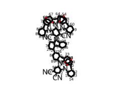 N#Cc1cc(-n2c3ccccc3c3ccccc32)c(-n2c3ccccc3c3cc(-c4cccc5c4c4ccccc4n5-c4c(C#N)c(-n5c6ccccc6c6ccccc65)c(-n5c6ccccc6c6ccccc65)c(-n5c6ccccc6c6ccccc65)c4C#N)ccc32)cc1C#N